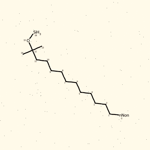 CCCCCCCCCCCCCCCCCCCCC(C)(C)O[SiH3]